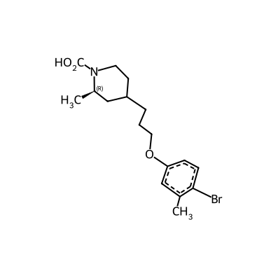 Cc1cc(OCCCC2CCN(C(=O)O)[C@H](C)C2)ccc1Br